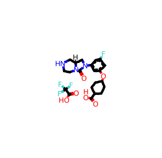 O=C(O)C(F)(F)F.O=C(O)C1CCC(Oc2cc(F)cc(N3C[C@@H]4CNCCN4C3=O)c2)CC1